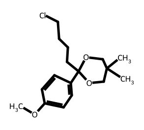 COc1ccc(C2(CCCCCl)OCC(C)(C)CO2)cc1